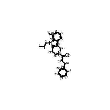 CCCn1c2c(c3cccc(C)c31)CN(C(=O)CCc1ccccc1)CC2